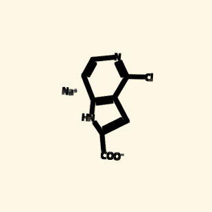 O=C([O-])c1cc2c(Cl)nccc2[nH]1.[Na+]